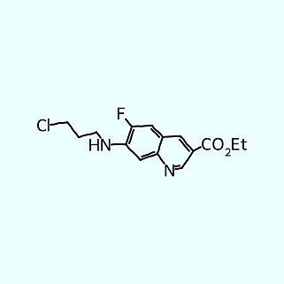 CCOC(=O)c1cnc2cc(NCCCCl)c(F)cc2c1